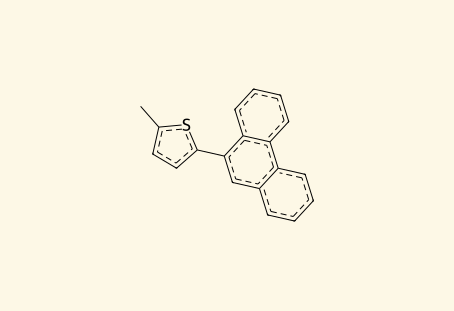 Cc1ccc(-c2cc3ccccc3c3ccccc23)s1